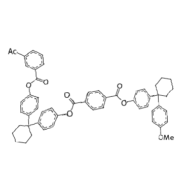 COc1ccc(C2(c3ccc(OC(=O)c4ccc(C(=O)Oc5ccc(C6(c7ccc(OC(=O)c8cccc(C(C)=O)c8)cc7)CCCCC6)cc5)cc4)cc3)CCCCC2)cc1